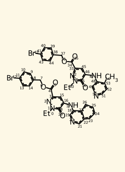 CCn1nc(C(=O)OCc2ccc(Br)cc2)cc(Nc2cncc3ccccc23)c1=O.CCn1nc(C(=O)OCc2ccc(Br)cc2)cc(Nc2cnccc2C)c1=O